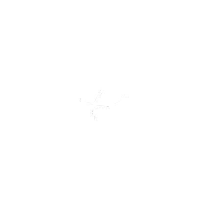 CC(=O)OP(C)(=O)O